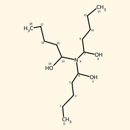 CCCCC(O)N(C(O)CCCC)C(O)CCCC